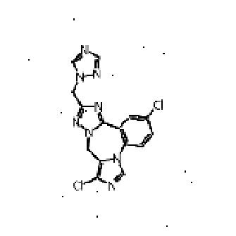 Clc1ccc2c(c1)-c1nc(Cn3cncn3)nn1Cc1c(Cl)ncn1-2